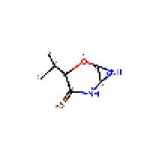 CC(C)C1OC2NC2NC1=S